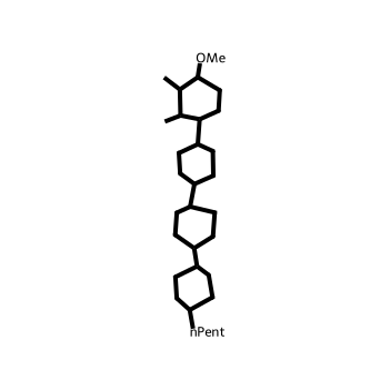 CCCCCC1CCC(C2CCC(C3CCC(C4CCC(OC)C(C)C4C)CC3)CC2)CC1